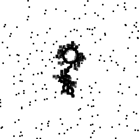 CC[C@H]1OC(=O)[C@H](C)[C@@H](O)[C@H](C)[C@@H](O)[C@](C)(O)C[C@@H](C)CN(CCCNC(=O)[C@@]2(O)[C@H](C)CC3C4C[C@H](F)C5=CC(=O)C=C[C@]5(C)[C@@]4(F)[C@@H](O)C[C@@]32C)[C@H](C)[C@@H](O)[C@]1(C)O